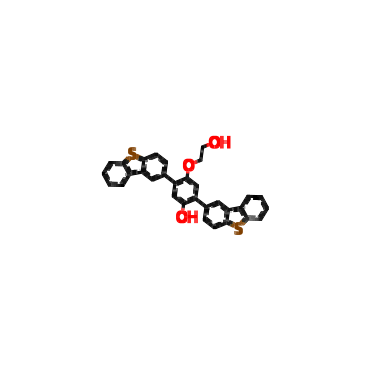 OCCOc1cc(-c2ccc3sc4ccccc4c3c2)c(O)cc1-c1ccc2sc3ccccc3c2c1